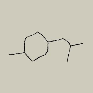 CC(C)CC1CCC(C)CC1